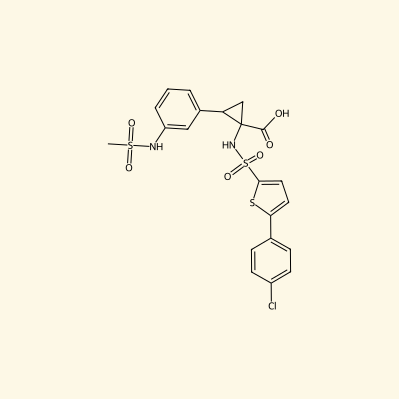 CS(=O)(=O)Nc1cccc(C2CC2(NS(=O)(=O)c2ccc(-c3ccc(Cl)cc3)s2)C(=O)O)c1